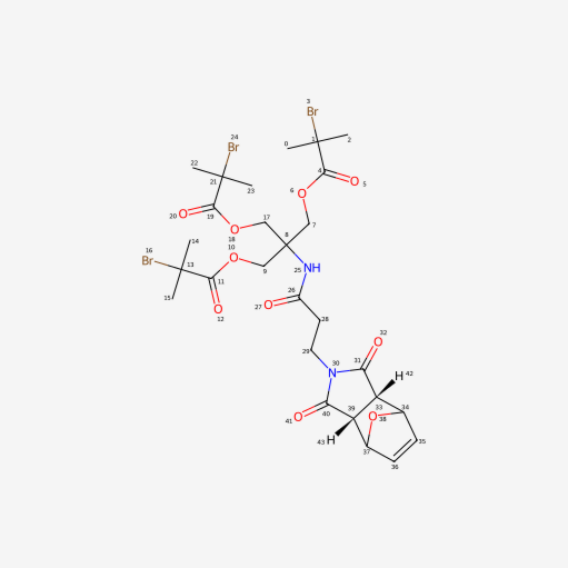 CC(C)(Br)C(=O)OCC(COC(=O)C(C)(C)Br)(COC(=O)C(C)(C)Br)NC(=O)CCN1C(=O)[C@@H]2C3C=CC(O3)[C@@H]2C1=O